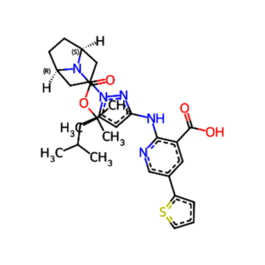 CC(C)Cc1cc(Nc2ncc(-c3cccs3)cc2C(=O)O)nn1C1C[C@H]2CC[C@@H](C1)N2C(=O)OC(C)(C)C